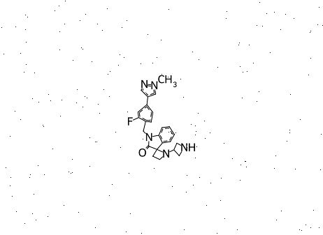 Cn1cc(-c2ccc(CN3C(=O)C4(CCN4C4CNC4)c4ccccc43)c(F)c2)cn1